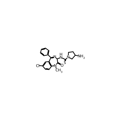 CN1C(=O)C(NC(=S)N2CCC(N)C2)N=C(c2ccccc2)c2cc(Cl)ccc21